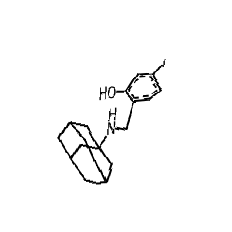 Oc1cc(I)ccc1CNC12CC3CC(CC(C3)C1)C2